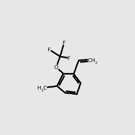 C=Cc1cccc(C)c1OC(F)(F)F